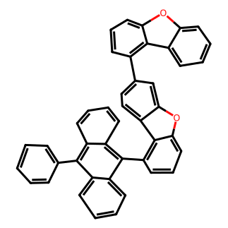 c1ccc(-c2c3ccccc3c(-c3cccc4oc5cc(-c6cccc7oc8ccccc8c67)ccc5c34)c3ccccc23)cc1